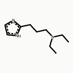 CCN(CC)CCCc1ncc[nH]1